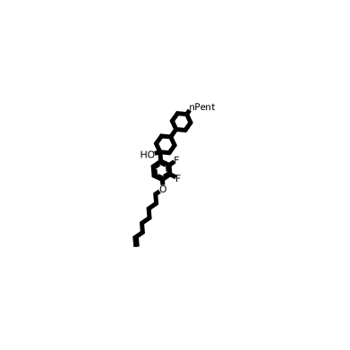 C=CCCCCCCOc1ccc(C2(O)CCC(C3CCC(CCCCC)CC3)CC2)c(F)c1F